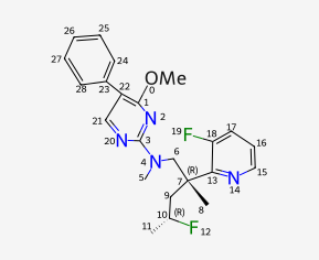 COc1nc(N(C)C[C@@](C)(C[C@@H](C)F)c2ncccc2F)ncc1-c1ccccc1